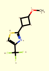 COC1CC(c2nc(C(F)(F)F)cs2)C1